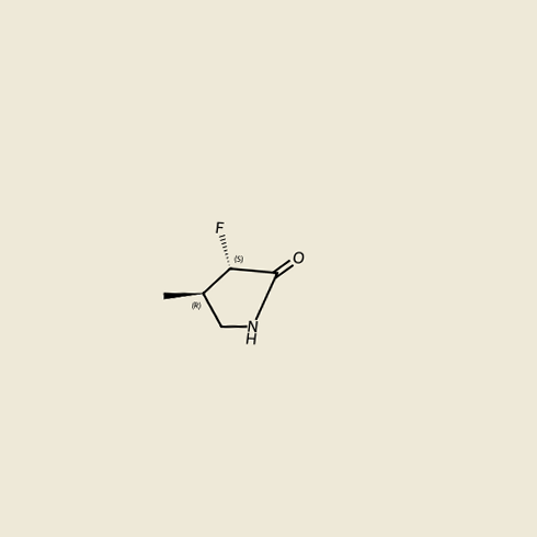 C[C@@H]1CNC(=O)[C@H]1F